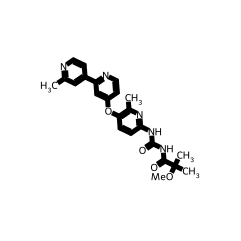 COC(C)(C)C(=O)NC(=O)Nc1ccc(Oc2ccnc(-c3ccnc(C)c3)c2)c(C)n1